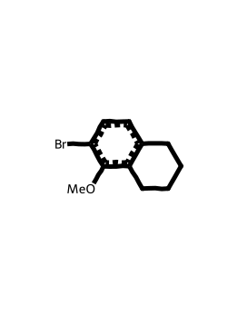 COc1c(Br)ccc2c1CCCC2